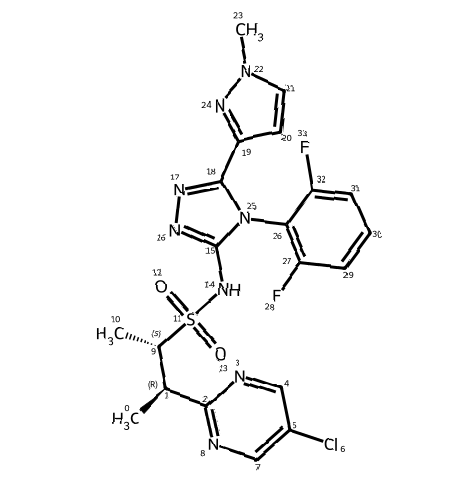 C[C@H](c1ncc(Cl)cn1)[C@H](C)S(=O)(=O)Nc1nnc(-c2ccn(C)n2)n1-c1c(F)cccc1F